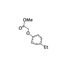 CCc1ccc(OCC(=O)OC)cc1